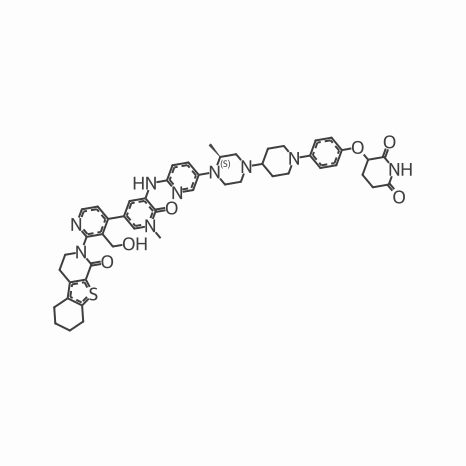 C[C@H]1CN(C2CCN(c3ccc(OC4CCC(=O)NC4=O)cc3)CC2)CCN1c1ccc(Nc2cc(-c3ccnc(N4CCc5c(sc6c5CCCC6)C4=O)c3CO)cn(C)c2=O)nc1